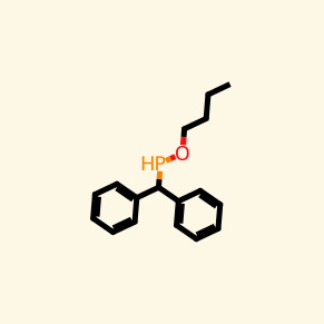 CCCCOPC(c1ccccc1)c1ccccc1